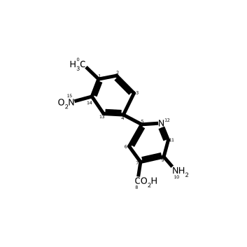 Cc1ccc(-c2cc(C(=O)O)c(N)cn2)cc1[N+](=O)[O-]